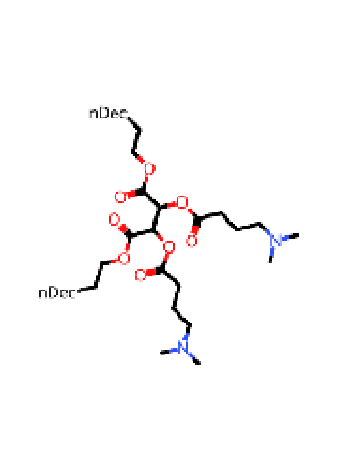 CCCCCCCCCCCCOC(=O)C(OC(=O)CCCN(C)C)C(OC(=O)CCCN(C)C)C(=O)OCCCCCCCCCCCC